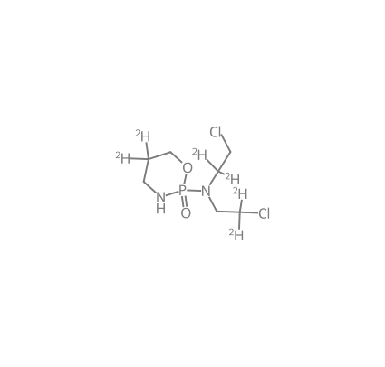 [2H]C([2H])(Cl)CN(C([2H])([2H])CCl)P1(=O)NCC([2H])([2H])CO1